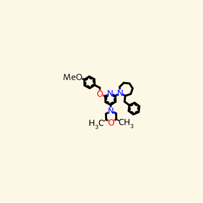 COc1ccc(COc2cc(N3C[C@@H](C)O[C@H](C)C3)cc(N3CCCCCC3Cc3ccccc3)n2)cc1